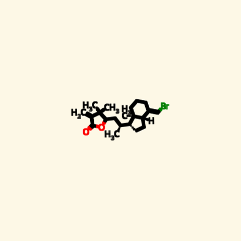 C=C1C(=O)OC(C[C@@H](C)[C@H]2CC[C@H]3/C(=C/Br)CCC[C@]23C)C1(C)C